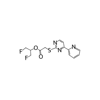 O=C(CSc1nccc(-c2ccccn2)n1)OC(CF)CF